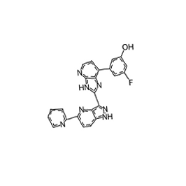 Oc1cc(F)cc(-c2ccnc3[nH]c(-c4n[nH]c5ccc(-c6ccccn6)nc45)nc23)c1